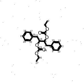 CCOC(=O)OC(Cc1ccccc1)C(Cc1ccccc1)OC(=O)OCC